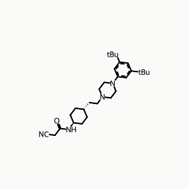 CC(C)(C)c1cc(N2CCN(CC[C@H]3CC[C@H](NC(=O)CC#N)CC3)CC2)cc(C(C)(C)C)c1